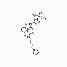 CC(C)(C)c1cc(NC(=O)[C@H]2[C@H](C(=O)NCCCCN3CCCC3)[C@H]3C=C[C@@H]2C32CC2)no1